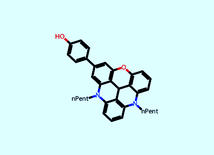 CCCCCN1c2cccc3c2C2c4c(cc(-c5ccc(O)cc5)cc4N(CCCCC)c4cccc1c42)O3